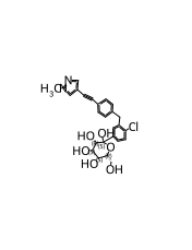 Cn1cc(C#Cc2ccc(Cc3cc([C@]4(O)O[C@H](CO)[C@@H](O)[C@H](O)[C@H]4O)ccc3Cl)cc2)cn1